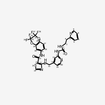 O=C(NCCc1ccccn1)Nc1cc(CNc2ncsc2C(=O)Nc2ccc3c(c2)OC(F)(F)C(F)(F)O3)ccn1